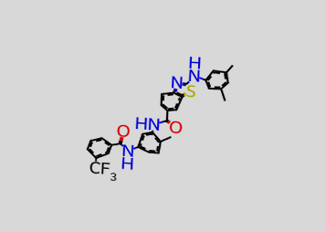 Cc1cc(C)cc(Nc2nc3ccc(C(=O)Nc4cc(NC(=O)c5cccc(C(F)(F)F)c5)ccc4C)cc3s2)c1